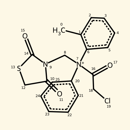 Cc1ccccc1[N+](CN1C(=O)CSC1=O)(C(=O)CCl)c1ccccc1